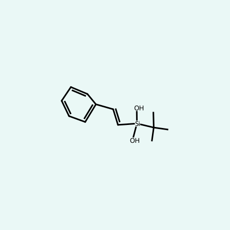 CC(C)(C)[Si](O)(O)C=Cc1ccccc1